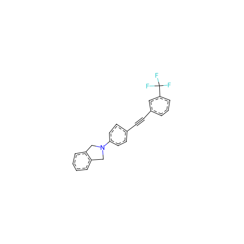 FC(F)(F)c1cccc(C#Cc2ccc(N3Cc4ccccc4C3)cc2)c1